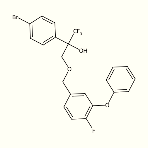 OC(COCc1ccc(F)c(Oc2ccccc2)c1)(c1ccc(Br)cc1)C(F)(F)F